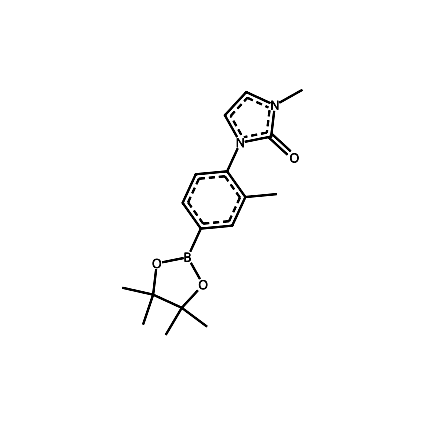 Cc1cc(B2OC(C)(C)C(C)(C)O2)ccc1-n1ccn(C)c1=O